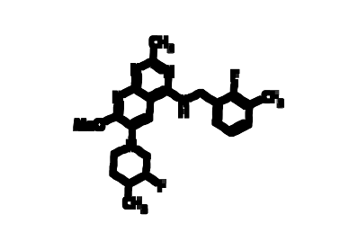 COc1nc2nc(C)nc(NCc3cccc(C(F)(F)F)c3F)c2cc1N1CCC(C)C(F)C1